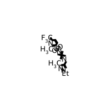 CCn1cc(CN2CC3(C2)CN(S(=O)(=O)c2ccc(C(F)(F)F)nc2C)C3)c(C)n1